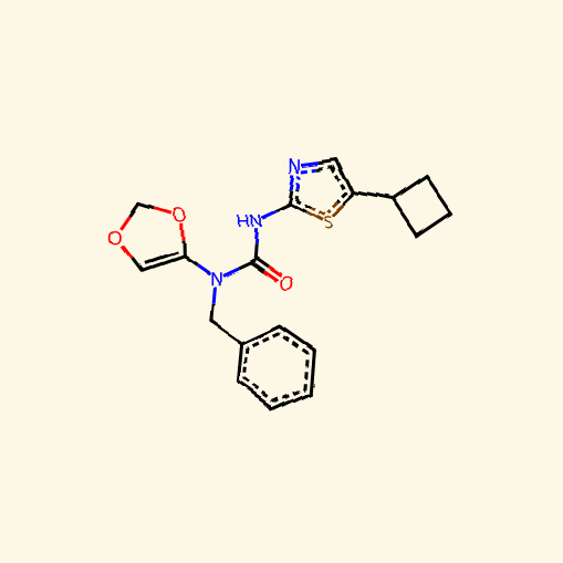 O=C(Nc1ncc(C2CCC2)s1)N(Cc1ccccc1)C1=COCO1